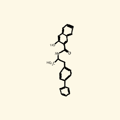 O=C(NC(Cc1ccc(-c2ccccc2)cc1)C(=O)O)c1cc2ccccc2cc1O